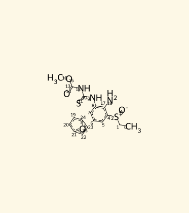 CC[S+]([O-])c1cccc(NC(=S)NC(=O)OC)c1N.c1cc2ccc1o2